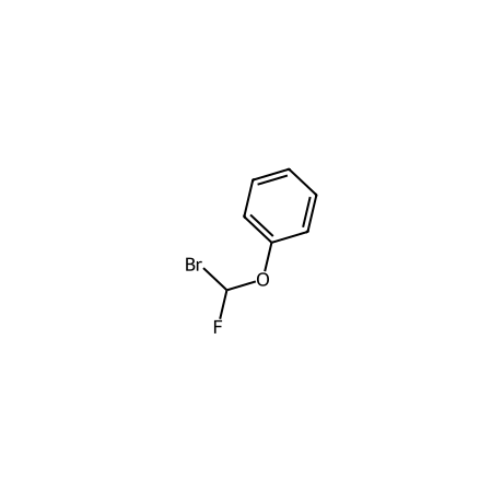 FC(Br)Oc1ccccc1